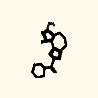 Nc1n[nH]c2c1CCCn1cc(C(=O)N3CCCCC3)cc1-2